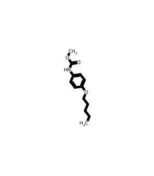 CCCCCOc1ccc(NC(=O)OC)cc1